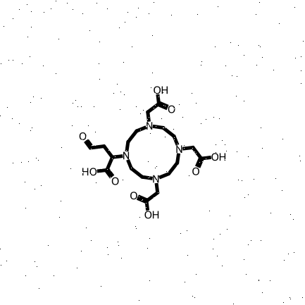 O=CCC(C(=O)O)N1CCN(CC(=O)O)CCN(CC(=O)O)CCN(CC(=O)O)CC1